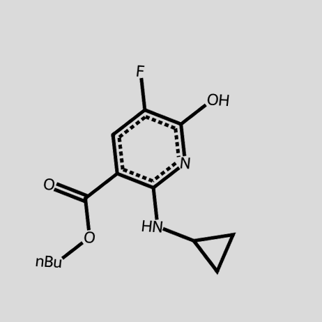 CCCCOC(=O)c1cc(F)c(O)nc1NC1CC1